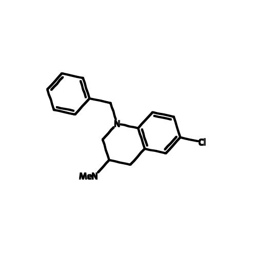 CNC1Cc2cc(Cl)ccc2N(Cc2ccccc2)C1